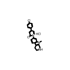 Cl.Cn1c2c(c3ccc(-n4ccc(-c5ccc(Cl)cc5)cc4=O)cc31)CCNC2